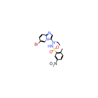 CC=[N+](NS(=O)(=O)c1cc([N+](=O)[O-])ccc1C)c1cnc2ccc(Br)cn12